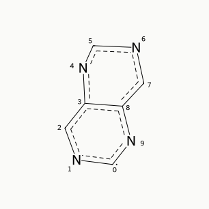 [c]1ncc2ncncc2n1